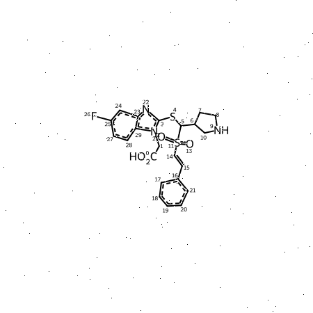 O=C(O)Cn1c(SC(C2CCNC2)S(=O)(=O)C=Cc2ccccc2)nc2cc(F)ccc21